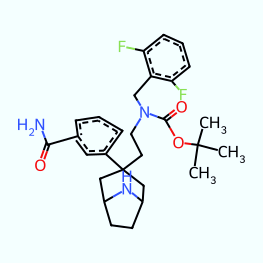 CC(C)(C)OC(=O)N(CCC1(c2cccc(C(N)=O)c2)CC2CCC(C1)N2)Cc1c(F)cccc1F